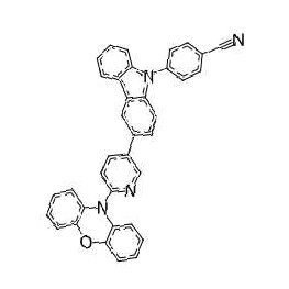 N#Cc1ccc(-n2c3ccccc3c3cc(-c4ccc(N5c6ccccc6Oc6ccccc65)nc4)ccc32)cc1